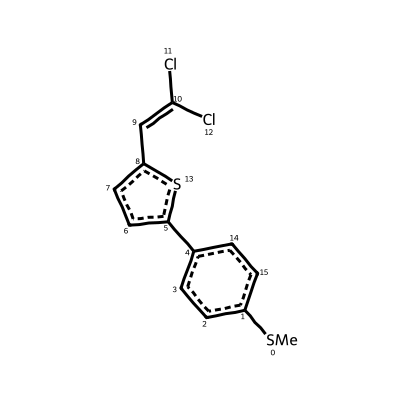 CSc1ccc(-c2ccc(C=C(Cl)Cl)s2)cc1